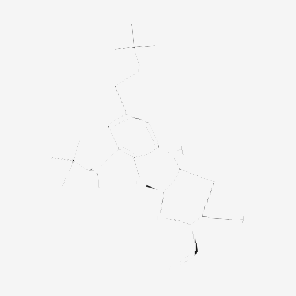 CC(C)(C)Nc1cc(COC(C)(C)C)ccc1O[C@@H]1O[C@H](C=O)C(O)CC1O